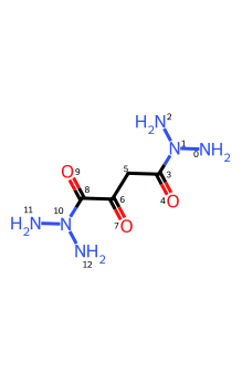 NN(N)C(=O)CC(=O)C(=O)N(N)N